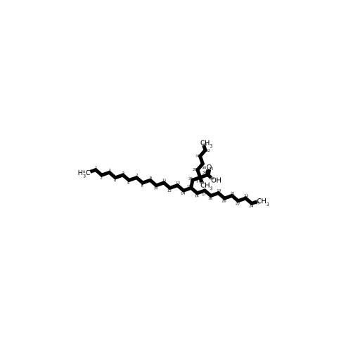 CCCCCCCCCCCCCCCC(CCCCCCCCCC)CC(C)(CCCCC)C(=O)O